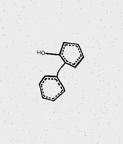 Oc1ccc[c]c1-c1ccccc1